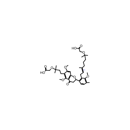 COc1cc2c(c(OC)c1CCC(C)(C)OCC(=O)O)C(=O)CC(c1ccc(C)c(OC)c1C/C=C(\C)CCCC(C)(C)OCC(=O)O)O2